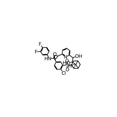 O=C(Nc1ccc(F)c(F)c1)c1ccc(Cl)c(S(=O)(=O)C2CC3CC(C2)C3(O)C(O)C(O)c2cccc(C3CC3)n2)c1